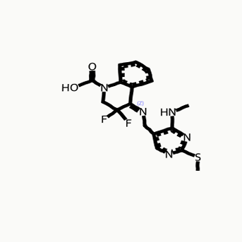 CNc1nc(SC)ncc1C/N=C1/c2ccccc2N(C(=O)O)CC1(F)F